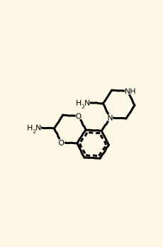 NC1COc2c(cccc2N2CCNCC2N)O1